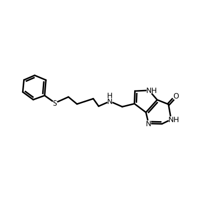 O=c1[nH]cnc2c(CNCCCCSc3ccccc3)c[nH]c12